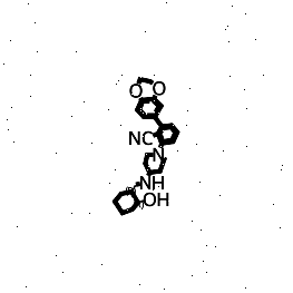 N#Cc1c(-c2ccc3c(c2)OCCO3)cccc1N1CCC(NC[C@H]2CCCC[C@H]2O)CC1